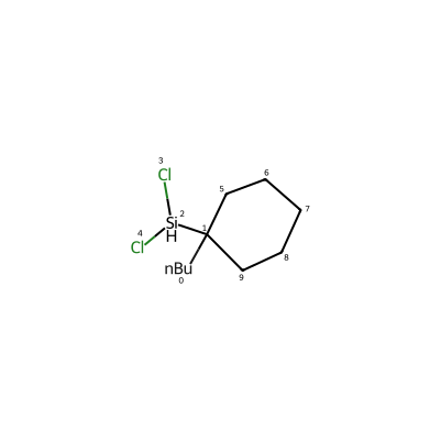 CCCCC1([SiH](Cl)Cl)CCCCC1